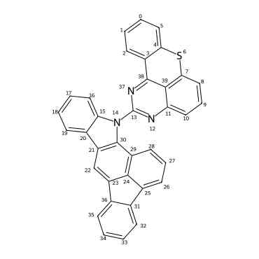 c1ccc2c(c1)Sc1cccc3nc(-n4c5ccccc5c5cc6c7c(cccc7c54)-c4ccccc4-6)nc-2c13